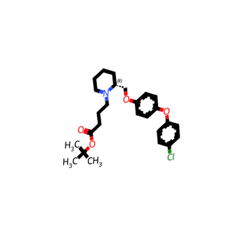 CC(C)(C)OC(=O)CCCN1CCCC[C@@H]1COc1ccc(Oc2ccc(Cl)cc2)cc1